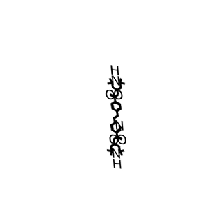 CC1(C)CC(OC(=O)c2ccc(CCc3ccc(C(=O)OC4CC(C)(C)NC(C)(C)C4)cn3)cc2)CC(C)(C)N1